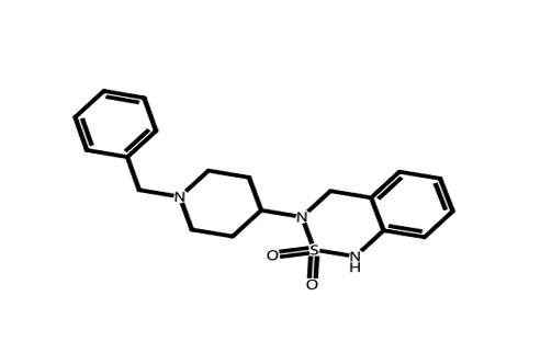 O=S1(=O)Nc2ccccc2CN1C1CCN(Cc2ccccc2)CC1